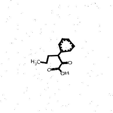 CCCC(C(=O)C(=O)O)c1ccccc1